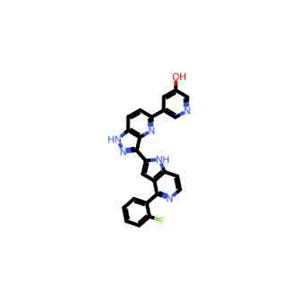 Oc1cncc(-c2ccc3[nH]nc(-c4cc5c(-c6ccccc6F)nccc5[nH]4)c3n2)c1